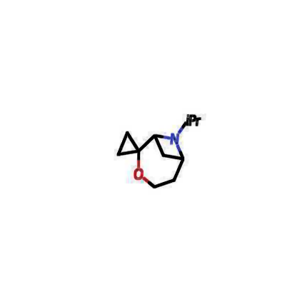 CC(C)N1C2CCOC3(CC3)C1C2